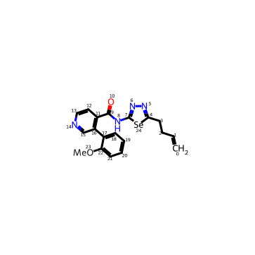 C=CCCc1nnc(NC(=O)c2ccncc2-c2ccccc2OC)[se]1